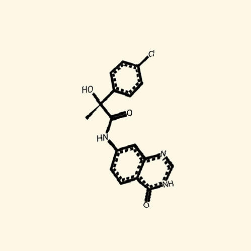 C[C@](O)(C(=O)Nc1ccc2c(=O)[nH]cnc2c1)c1ccc(Cl)cc1